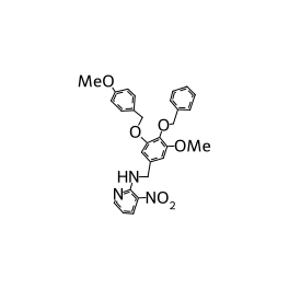 COc1ccc(COc2cc(CNc3ncccc3[N+](=O)[O-])cc(OC)c2OCc2ccccc2)cc1